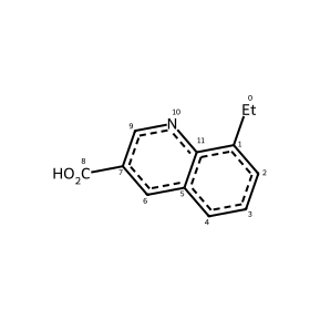 CCc1cccc2cc(C(=O)O)cnc12